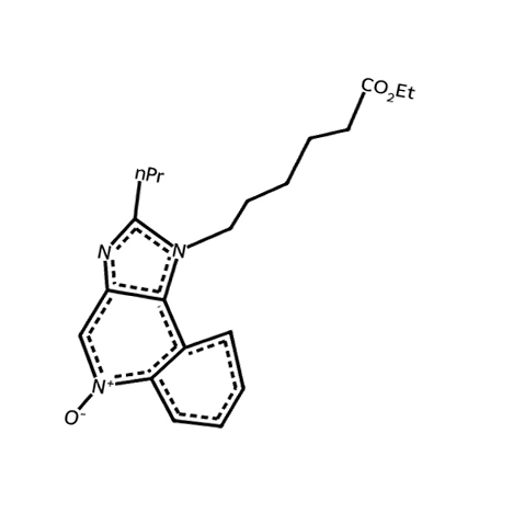 CCCc1nc2c[n+]([O-])c3ccccc3c2n1CCCCCC(=O)OCC